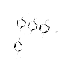 CC(C)(C)c1ccc(O)cc1.CC(C)(C)c1ccc(O)cc1.CC(C)(C)c1ccc(O)cc1.CC(C)(C)c1ccc(O)cc1.S.S